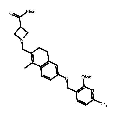 CNC(=O)C1CN(CC2=C(C)c3ccc(OCc4ccc(C(F)(F)F)nc4OC)cc3CC2)C1